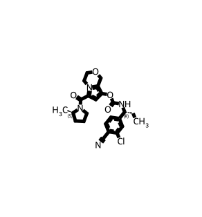 CC[C@@H](NC(=O)Oc1cc(C(=O)N2CCC[C@@H]2C)n2c1COCC2)c1ccc(C#N)c(Cl)c1